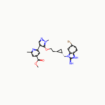 COC(=O)c1cc(C)nc(-c2cnn(C)c2OCC[C@H]2C[C@@H]2Cn2c(=N)[nH]c3ccc(Br)cc32)c1